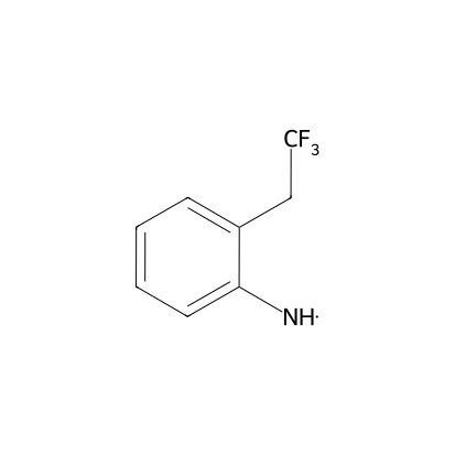 [NH]c1ccccc1CC(F)(F)F